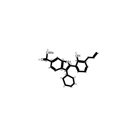 C=CCc1cccc(-c2[nH]c3cc(C(=O)OC)ccc3c2C2CCCCC2)c1O